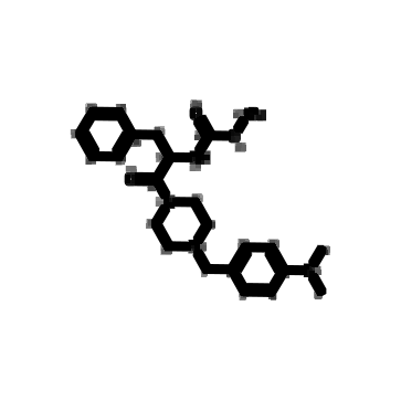 CN(C)c1ccc(CN2CCN(C(=O)C(Cc3ccccc3)NC(=O)OC(C)(C)C)CC2)cc1